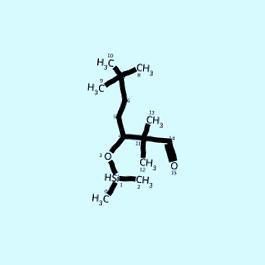 C[SiH](C)OC(CCC(C)(C)C)C(C)(C)C=O